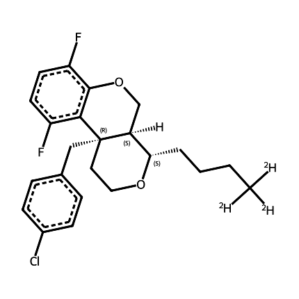 [2H]C([2H])([2H])CCC[C@@H]1OCC[C@@]2(Cc3ccc(Cl)cc3)c3c(F)ccc(F)c3OC[C@@H]12